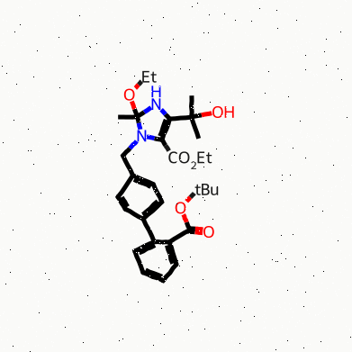 CCOC(=O)C1=C(C(C)(C)O)NC(C)(OCC)N1Cc1ccc(-c2ccccc2C(=O)OC(C)(C)C)cc1